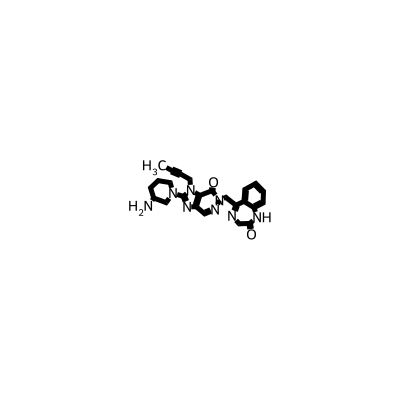 CC#CCn1c(N2CCCC(N)C2)nc2cnn(CC3=NCC(=O)Nc4ccccc43)c(=O)c21